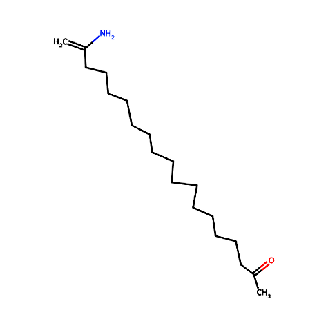 C=C(N)CCCCCCCCCCCCCCCC(C)=O